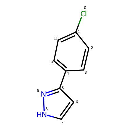 Clc1ccc(-c2[c]c[nH]n2)cc1